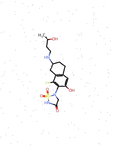 C[C@@H](O)CCNC1CCc2cc(O)c(N3CC(=O)NS3(=O)=O)c(F)c2C1